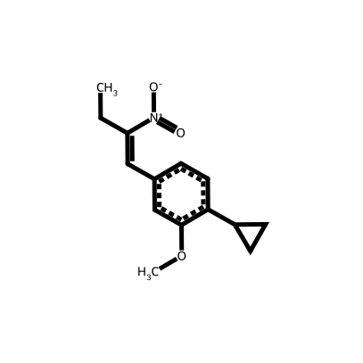 CCC(=Cc1ccc(C2CC2)c(OC)c1)[N+](=O)[O-]